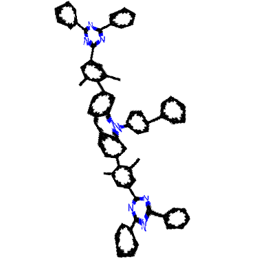 Cc1cc(-c2nc(-c3ccccc3)nc(-c3ccccc3)n2)cc(C)c1-c1ccc2c3ccc(-c4c(C)cc(-c5nc(-c6ccccc6)nc(-c6ccccc6)n5)cc4C)cc3n(-c3ccc(-c4ccccc4)cc3)c2c1